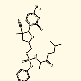 CC(C)COC(=O)C(C)NP(=O)(OCC1CC(C)(C#N)C(n2ccc(N)nc2=O)O1)Oc1ccccc1